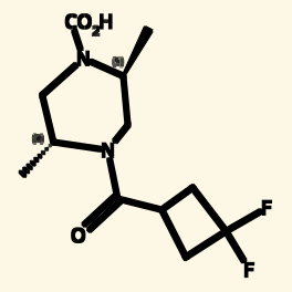 C[C@@H]1CN(C(=O)O)[C@@H](C)CN1C(=O)C1CC(F)(F)C1